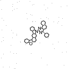 c1ccc(-c2nc(-n3c4ccccc4c4cc5c(ccc6oc7ccccc7c65)cc43)nc3c2ccc2ccccc23)cc1